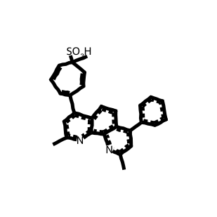 Cc1cc(C2=CC=CC(C)(S(=O)(=O)O)C=C2)c2ccc3c(-c4ccccc4)cc(C)nc3c2n1